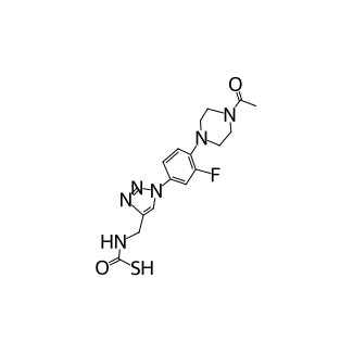 CC(=O)N1CCN(c2ccc(-n3cc(CNC(=O)S)nn3)cc2F)CC1